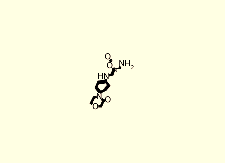 NC[C@@H](CNc1ccc(N2CCOCC2=O)cc1)OC=O